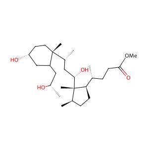 COC(=O)CC[C@@H](C)[C@H]1CC[C@@H](C)[C@]1(C)[C@@H](O)C[C@@H](C)[C@@]1(C)CC[C@@H](O)CC1C[C@H](C)O